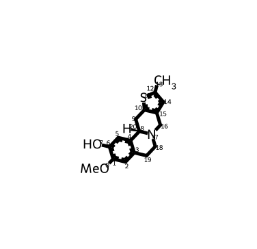 COc1cc2c(cc1O)[C@@H]1Cc3sc(C)cc3CN1CC2